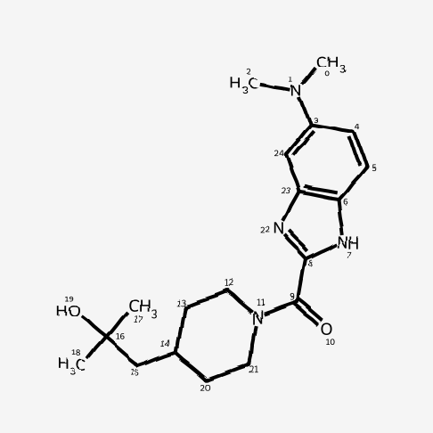 CN(C)c1ccc2[nH]c(C(=O)N3CCC(CC(C)(C)O)CC3)nc2c1